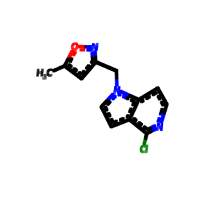 Cc1cc(Cn2ccc3c(Cl)nccc32)no1